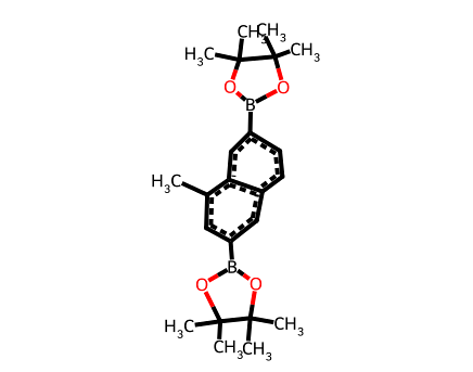 Cc1cc(B2OC(C)(C)C(C)(C)O2)cc2ccc(B3OC(C)(C)C(C)(C)O3)cc12